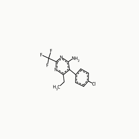 CCc1nc(C(F)(F)F)nc(N)c1-c1ccc(Cl)cc1